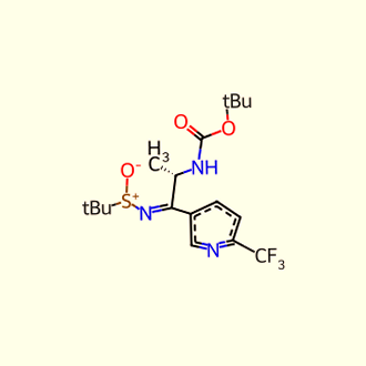 C[C@H](NC(=O)OC(C)(C)C)C(=N[S+]([O-])C(C)(C)C)c1ccc(C(F)(F)F)nc1